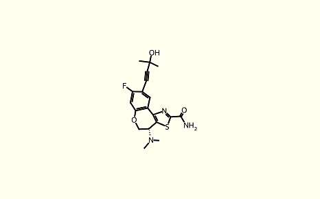 CN(C)[C@@H]1COc2cc(F)c(C#CC(C)(C)O)cc2-c2nc(C(N)=O)sc21